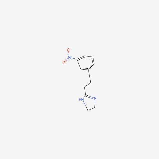 O=[N+]([O-])c1cccc(CCC2=NCCN2)c1